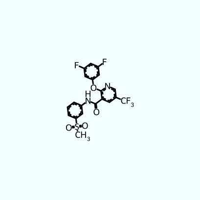 CS(=O)(=O)c1cccc(NC(=O)c2cc(C(F)(F)F)cnc2Oc2cc(F)cc(F)c2)c1